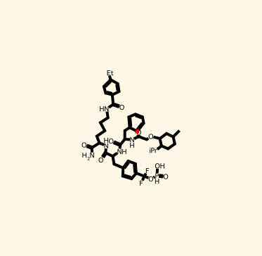 CCc1ccc(C(=O)NCCCCC(NC(=O)C(Cc2ccc(C(F)(F)O[PH](=O)O)cc2)NC(=O)C(Cc2ccccc2)NC(=O)COC2CC(C)CCC2C(C)C)C(N)=O)cc1